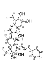 Cc1cc2c(C(C)C)c(O)c(O)cc2c(O)c1-c1c(C)cc2c(C(C)C)c(O)c(O)c(/C=N/Cc3ccccc3)c2c1O